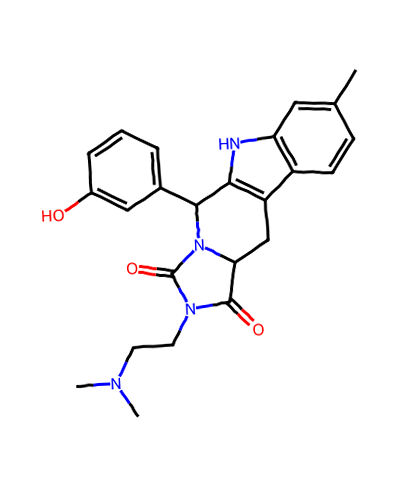 Cc1ccc2c3c([nH]c2c1)C(c1cccc(O)c1)N1C(=O)N(CCN(C)C)C(=O)C1C3